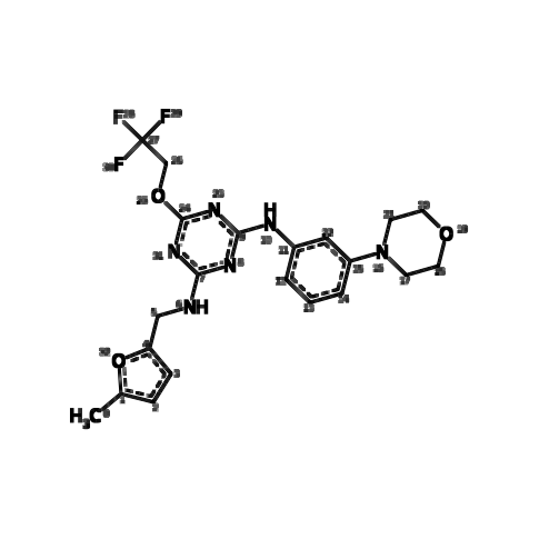 Cc1ccc(CNc2nc(Nc3cccc(N4CCOCC4)c3)nc(OCC(F)(F)F)n2)o1